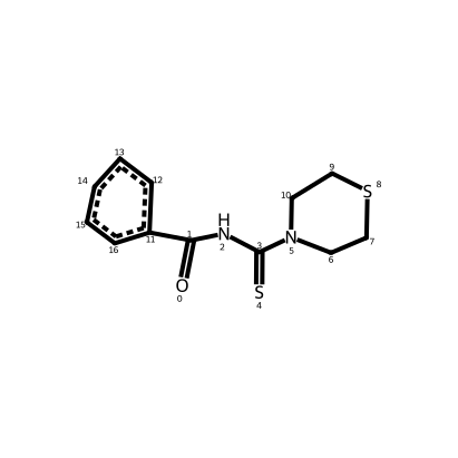 O=C(NC(=S)N1CCSCC1)c1ccccc1